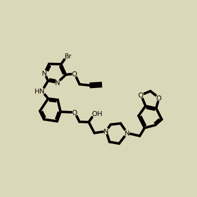 C#CCOc1nc(Nc2cccc(OCC(O)CN3CCN(Cc4ccc5c(c4)OCO5)CC3)c2)ncc1Br